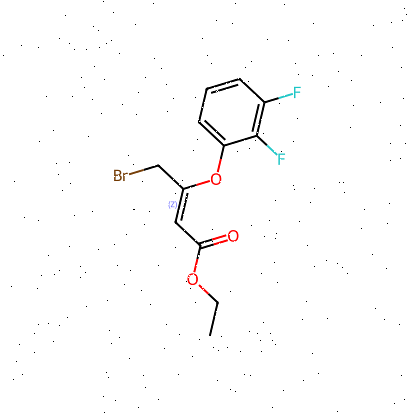 CCOC(=O)/C=C(/CBr)Oc1cccc(F)c1F